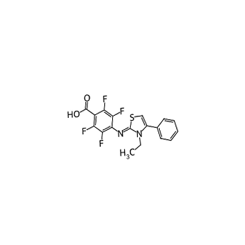 CCn1c(-c2ccccc2)csc1=Nc1c(F)c(F)c(C(=O)O)c(F)c1F